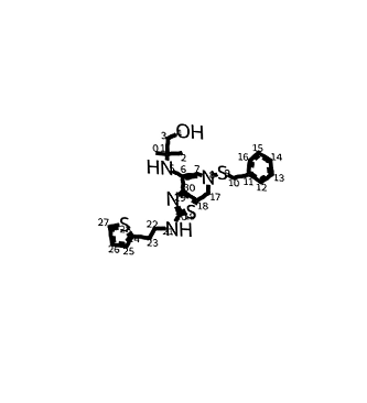 CC(C)(CO)NC1=CN(SCc2ccccc2)Cc2sc(NCCc3cccs3)nc21